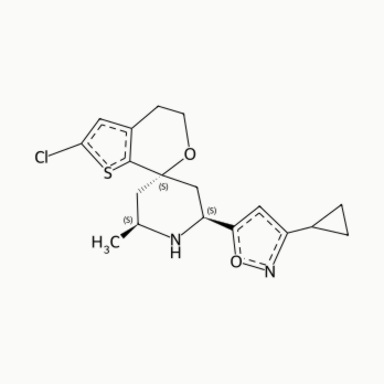 C[C@H]1C[C@@]2(C[C@@H](c3cc(C4CC4)no3)N1)OCCc1cc(Cl)sc12